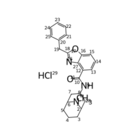 CN1C2CCCC1CC(NC(=O)c1cccc3oc(Cc4ccccc4)nc13)C2.Cl